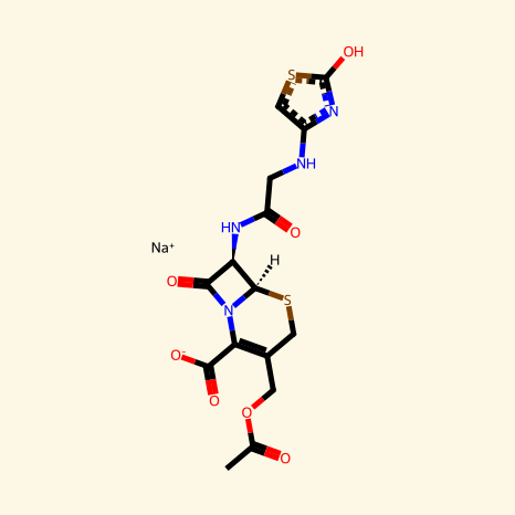 CC(=O)OCC1=C(C(=O)[O-])N2C(=O)[C@@H](NC(=O)CNc3csc(O)n3)[C@H]2SC1.[Na+]